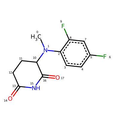 CN(c1ccc(F)cc1F)C1CCC(=O)NC1=O